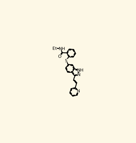 CCNC(=O)c1ccccc1Sc1ccc2c(C=Cc3ccccn3)n[nH]c2c1